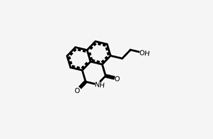 O=C1NC(=O)c2c(CCO)ccc3cccc1c23